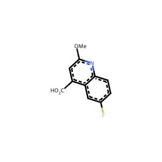 COc1cc(C(=O)O)c2cc(F)ccc2n1